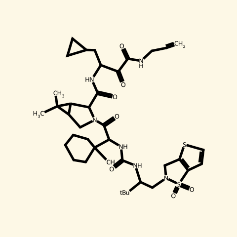 C=CCNC(=O)C(=O)C(CC1CC1)NC(=O)C1C2C(CN1C(=O)C(NC(=O)NC(CN1Cc3sccc3S1(=O)=O)C(C)(C)C)C1(C)CCCCC1)C2(C)C